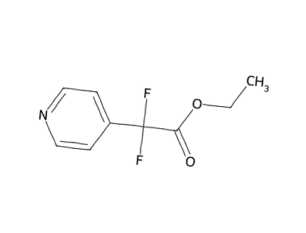 CCOC(=O)C(F)(F)c1ccncc1